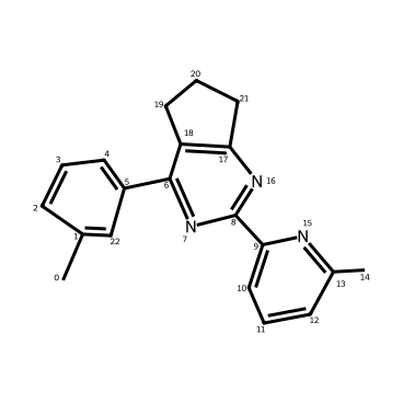 Cc1cccc(-c2nc(-c3cccc(C)n3)nc3c2CCC3)c1